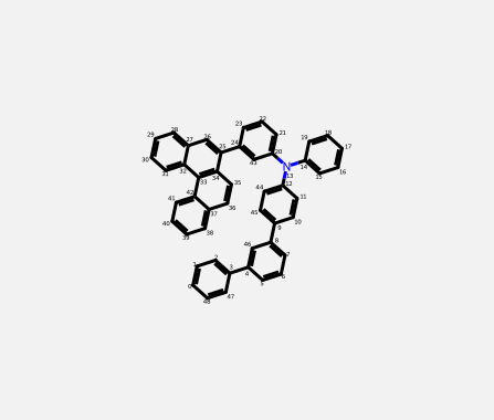 c1ccc(-c2cccc(-c3ccc(N(c4ccccc4)c4cccc(-c5cc6ccccc6c6c5ccc5ccccc56)c4)cc3)c2)cc1